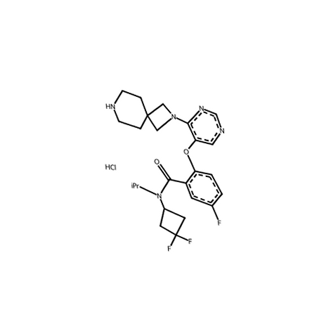 CC(C)N(C(=O)c1cc(F)ccc1Oc1cncnc1N1CC2(CCNCC2)C1)C1CC(F)(F)C1.Cl